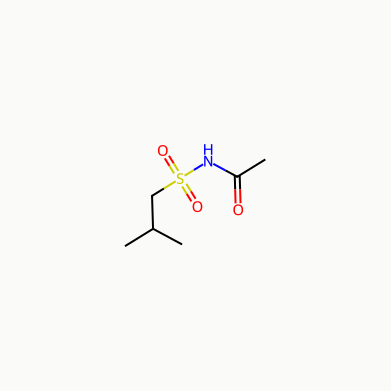 CC(=O)NS(=O)(=O)CC(C)C